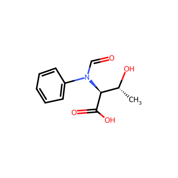 C[C@@H](O)[C@@H](C(=O)O)N(C=O)c1ccccc1